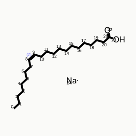 CCCCCCCC/C=C\CCCCCCCCCCCC(=O)O.[Na]